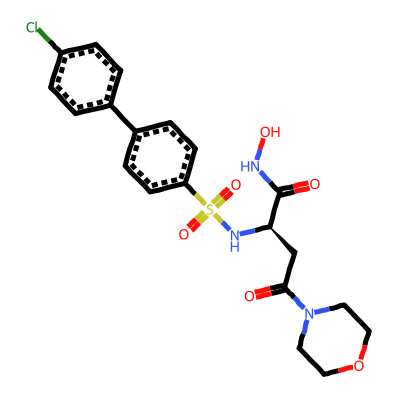 O=C(NO)[C@@H](CC(=O)N1CCOCC1)NS(=O)(=O)c1ccc(-c2ccc(Cl)cc2)cc1